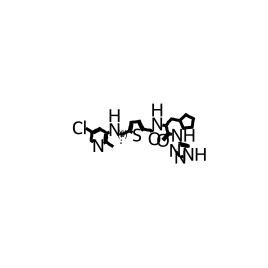 Cc1ncc(Cl)cc1N[C@@H](C)c1ccc(C(=O)NC(CC2CCCC2)C(=O)Nc2c[nH]nn2)s1